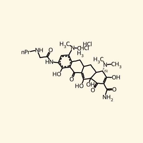 CCCNCC(=O)Nc1cc(N(C)C)c2c(c1O)C(=O)C1=C(O)C3(O)C(=O)C(C(N)=O)=C(O)[C@@H](N(C)C)C3CC1C2.Cl.Cl